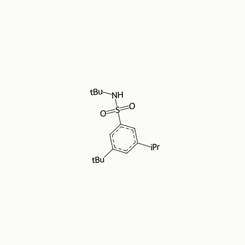 CC(C)c1cc(C(C)(C)C)cc(S(=O)(=O)NC(C)(C)C)c1